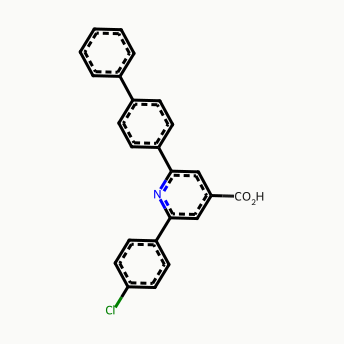 O=C(O)c1cc(-c2ccc(Cl)cc2)nc(-c2ccc(-c3ccccc3)cc2)c1